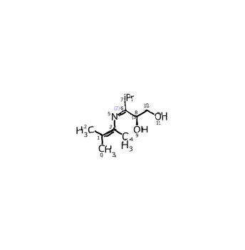 CC(C)=C(C)/N=C(/C(C)C)[C@H](O)CO